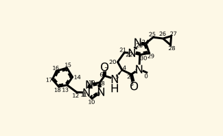 CN1C(=O)[C@@H](NC(=O)c2ncn(Cc3ccccc3)n2)CCn2nc(CC3CC3)cc21